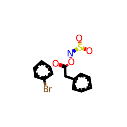 Brc1ccccc1.O=C(Cc1ccccc1)ON=S(=O)=O